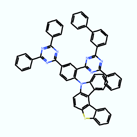 c1ccc(-c2cccc(-c3nc(-c4ccccc4)nc(-c4cc(-c5nc(-c6ccccc6)nc(-c6ccccc6)n5)ccc4-n4c5ccccc5c5c6c(ccc54)sc4ccccc46)n3)c2)cc1